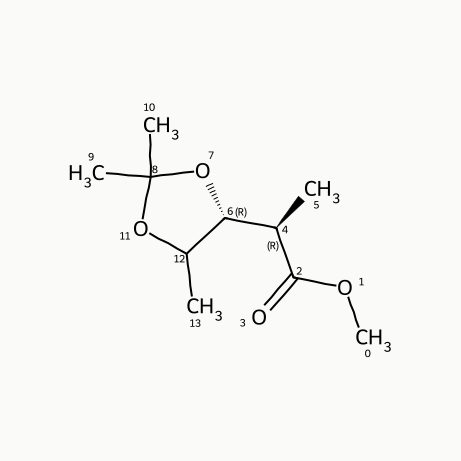 COC(=O)[C@H](C)[C@H]1OC(C)(C)OC1C